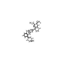 CC1=NC2=C(NCC3Cc4c(cccc4N4CCNCC4)CN3)CCCC2=CC1C